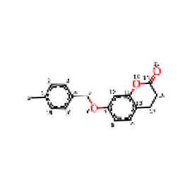 Cc1ccc(COc2ccc3c(c2)OC(=O)CC3)cc1